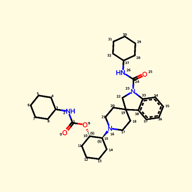 O=C(NC1CCCCC1)O[C@H]1CCCC[C@@H]1N1CCC2(CC1)CN(C(=O)NC1CCCCC1)c1ccccc12